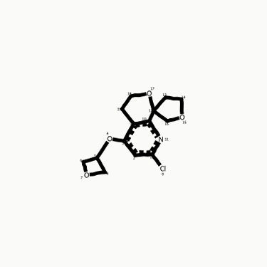 Clc1cc(OC2COC2)c2c(n1)C1(CCOC1)OCC2